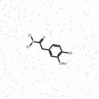 CCN(CC)C(=O)Cc1ccc(N=O)c(OC)c1